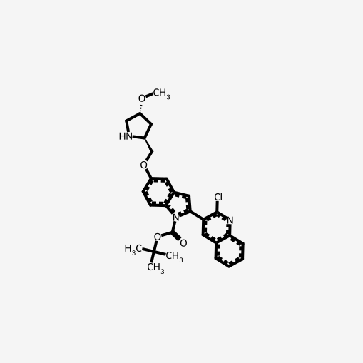 CO[C@H]1CN[C@H](COc2ccc3c(c2)cc(-c2cc4ccccc4nc2Cl)n3C(=O)OC(C)(C)C)C1